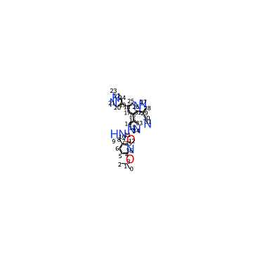 CC(C)Oc1ccc([C@H](C)NC(=O)n2cc(-c3cc(-c4cnn(C)c4)cn4ncc(C#N)c34)cn2)cn1